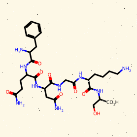 NCCCCC(NC(=O)CNC(=O)C(CC(N)=O)NC(=O)C(CCC(N)=O)NC(=O)C(N)Cc1ccccc1)C(=O)NC(CO)C(=O)O